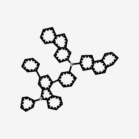 c1ccc(-c2cc(-c3cccc(N(c4ccc5c(ccc6ccccc65)c4)c4ccc5c(ccc6ccccc65)c4)c3)c3c4ccccc4n(-c4ccccc4)c3c2)cc1